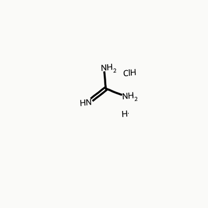 Cl.N=C(N)N.[H]